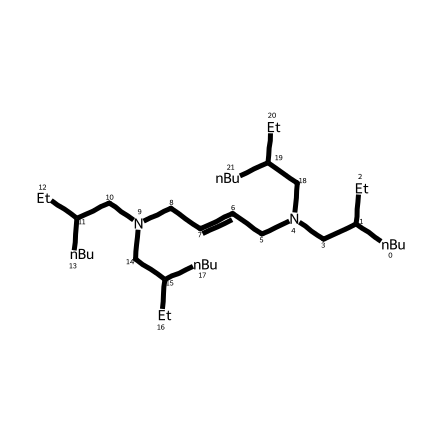 CCCCC(CC)CN(CC=CCN(CC(CC)CCCC)CC(CC)CCCC)CC(CC)CCCC